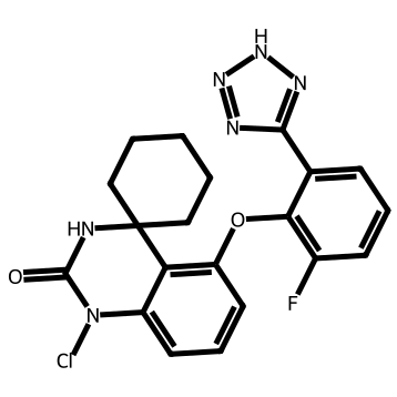 O=C1NC2(CCCCC2)c2c(Oc3c(F)cccc3-c3nn[nH]n3)cccc2N1Cl